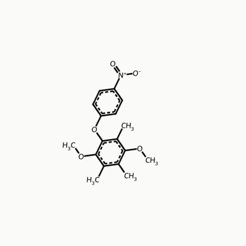 COc1c(C)c(C)c(OC)c(Oc2ccc([N+](=O)[O-])cc2)c1C